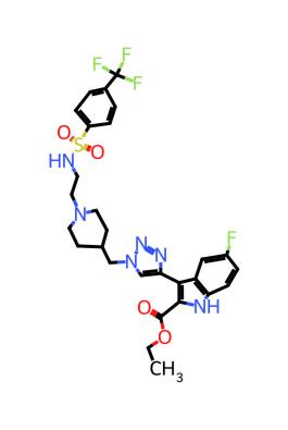 CCOC(=O)c1[nH]c2ccc(F)cc2c1-c1cn(CC2CCN(CCNS(=O)(=O)c3ccc(C(F)(F)F)cc3)CC2)nn1